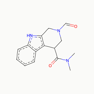 CN(C)C(=O)C1CN(C=O)Cc2[nH]c3ccccc3c21